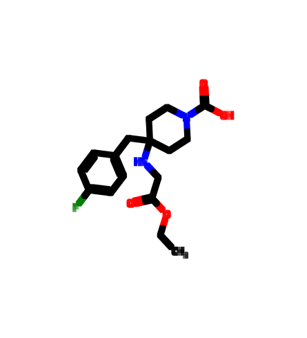 CCOC(=O)CNC1(Cc2ccc(F)cc2)CCN(C(=O)O)CC1